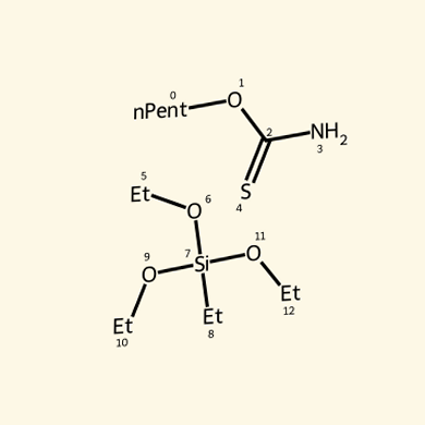 CCCCCOC(N)=S.CCO[Si](CC)(OCC)OCC